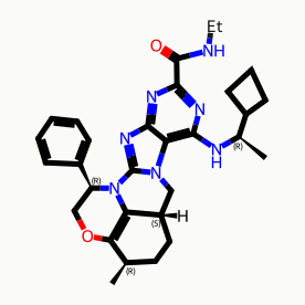 CCNC(=O)c1nc(N[C@H](C)C2CCC2)c2c(n1)nc1n2C[C@@H]2CC[C@@H](C)C3=C2N1[C@H](c1ccccc1)CO3